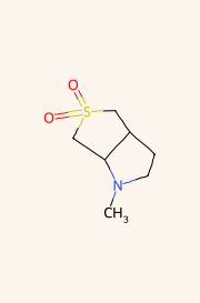 CN1CCC2CS(=O)(=O)CC21